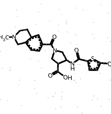 CN1CCc2cc(C(=O)N3CC(NC(=O)c4ccc(Cl)s4)C(C(=O)O)C3)ccc2C1